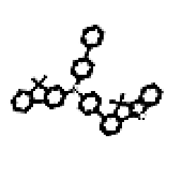 CC1(C)c2ccccc2-c2ccc(N(c3ccc(-c4ccccc4)cc3)c3ccc(-c4cccc5c4C(C)(C)c4c-5oc5ccccc45)cc3)cc21